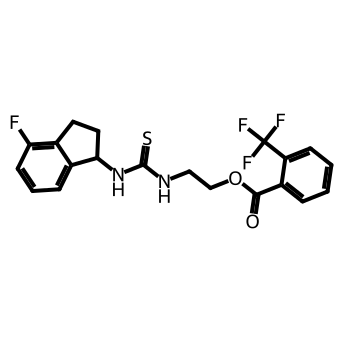 O=C(OCCNC(=S)NC1CCc2c(F)cccc21)c1ccccc1C(F)(F)F